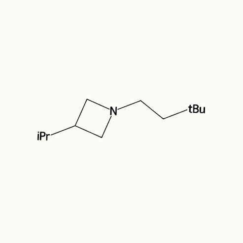 CC(C)C1CN(CCC(C)(C)C)C1